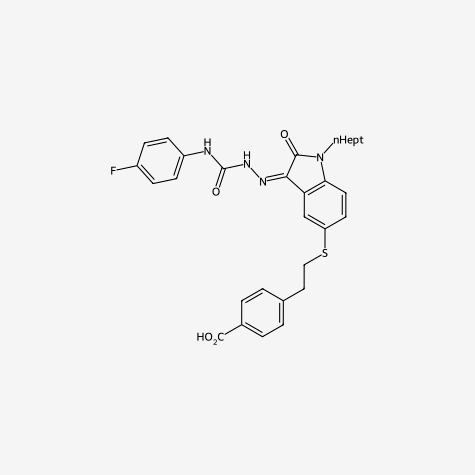 CCCCCCCN1C(=O)C(=NNC(=O)Nc2ccc(F)cc2)c2cc(SCCc3ccc(C(=O)O)cc3)ccc21